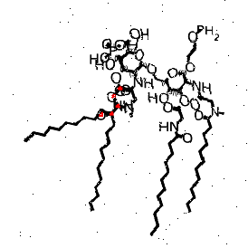 CCCCCCCCCCCC(=O)NCC(=O)O[C@H]1[C@H](O)[C@@H](CO[C@@H]2O[C@H](CO)[C@](O)(P(=O)(O)O)[C@H](OC(=O)CNC(=O)CCCCCCCCCCC)[C@@H]2NC(=O)CN(C)C(=O)CCCCCCCCCCC)O[C@H](OCCOP)[C@H]1NC(=O)CN(C)C(=O)CCCCCCCCCCC